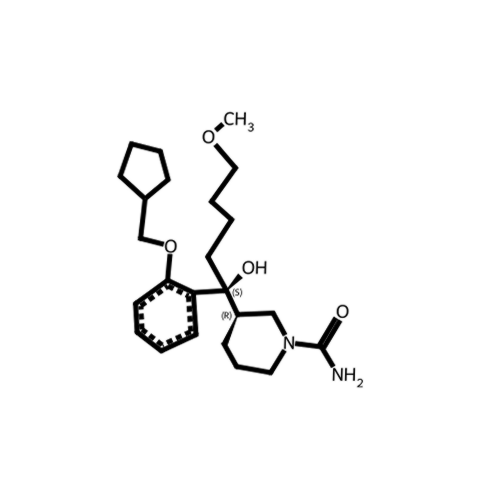 COCCCC[C@@](O)(c1ccccc1OCC1CCCC1)[C@@H]1CCCN(C(N)=O)C1